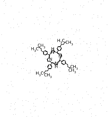 CC(C)CCc1ccc(-c2c3nc(c(-c4ccc(CCC(C)C)cc4)c4ccc([nH]4)c(-c4ccc(CCC(C)C)cc4)c4nc(c(-c5ccc(CCC(C)C)cc5)c5ccc2[nH]5)C=C4)C=C3)cc1